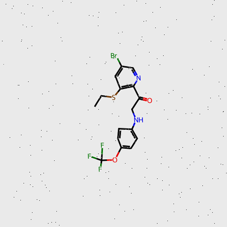 CCSc1cc(Br)cnc1C(=O)CNc1ccc(OC(F)(F)F)cc1